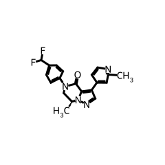 Cc1cc(-c2cnn3c2C(=O)N(c2ccc(C(F)F)cc2)C[C@@H]3C)ccn1